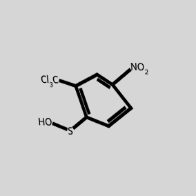 O=[N+]([O-])c1ccc(SO)c(C(Cl)(Cl)Cl)c1